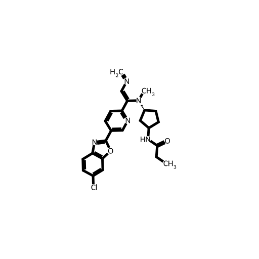 C=N/C=C(/c1ccc(-c2nc3ccc(Cl)cc3o2)cn1)N(C)[C@@H]1CCC(NC(=O)CC)C1